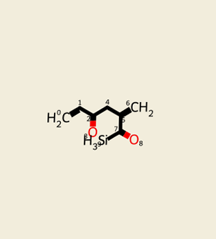 C=CC(=O)CC(=C)C(=O)[SiH3]